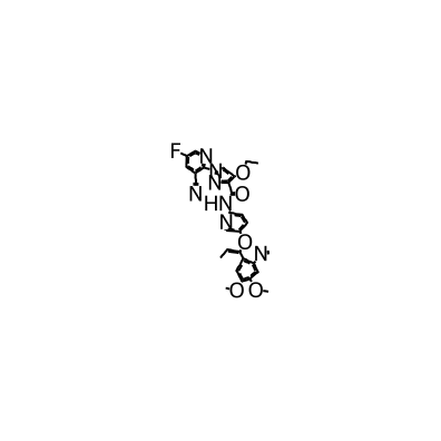 C=Nc1cc(OC)c(OC)cc1/C(=C\C)Oc1ccc(NC(=O)c2nn(-c3ncc(F)cc3C#N)cc2OCC)nc1